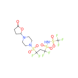 O=C1CCC(N2CCN(S(=O)(=O)C(F)(F)CC(F)(F)S(=O)(=O)NS(=O)(=O)C(F)(F)F)CC2)O1